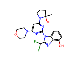 CC1(O)CCCN1c1cc(N2CCOCC2)nc(-n2c(C(F)F)nc3c(O)cccc32)n1